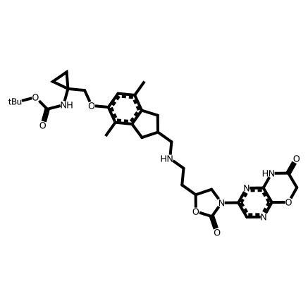 Cc1cc(OCC2(NC(=O)OC(C)(C)C)CC2)c(C)c2c1CC(CNCCC1CN(c3cnc4c(n3)NC(=O)CO4)C(=O)O1)C2